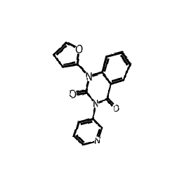 O=c1c2ccccc2n(-c2ccco2)c(=O)n1-c1cccnc1